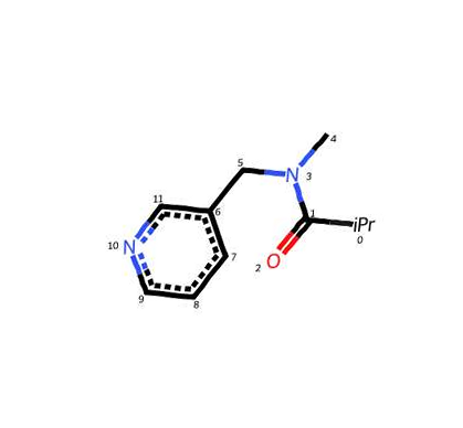 CC(C)C(=O)N(C)Cc1cccnc1